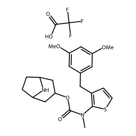 COc1cc(Cc2ccsc2N(C)C(=O)OC2CC3CCC(C2)N3)cc(OC)c1.O=C(O)C(F)(F)F